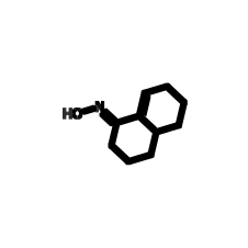 ON=C1CCCC2CCCC=C12